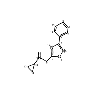 c1ccc(-c2noc(CNC3CC3)n2)cc1